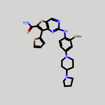 COc1cc(N2CCC(N3CCCC3)CC2)ccc1Nc1ncc2sc(C(N)=O)c(-c3cccs3)c2n1